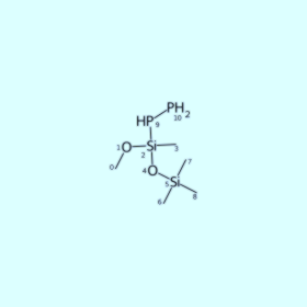 CO[Si](C)(O[Si](C)(C)C)PP